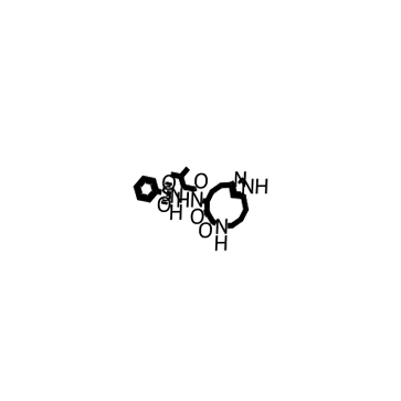 CC(C)C(NS(=O)(=O)c1ccccc1)C(=O)NC1CCc2cc([nH]n2)CCCNC(=O)C1=O